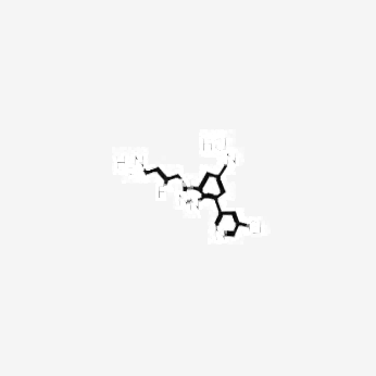 Cl.N#Cc1cc(-c2cncc(Cl)c2)c2nnn(C/C(F)=C/CN)c2c1